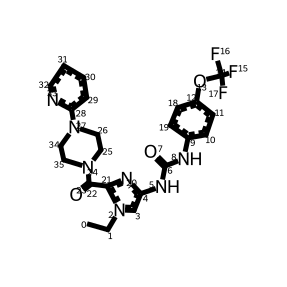 CCn1cc(NC(=O)Nc2ccc(OC(F)(F)F)cc2)nc1C(=O)N1CCN(c2ccccn2)CC1